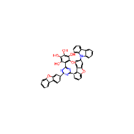 Oc1c(O)c(O)c(-c2nc(-c3ccc4c(c3)oc3ccccc34)nc(-c3cccc4oc5cc(-n6c7ccccc7c7ccccc76)ccc5c34)n2)c(O)c1O